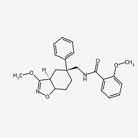 COC1=NOC2CC[C@@](CNC(=O)c3ccccc3OC)(c3ccccc3)C[C@H]12